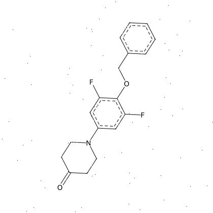 O=C1CCN(c2cc(F)c(OCc3ccccc3)c(F)c2)CC1